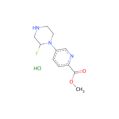 COC(=O)c1ccc(N2CCNCC2F)cn1.Cl